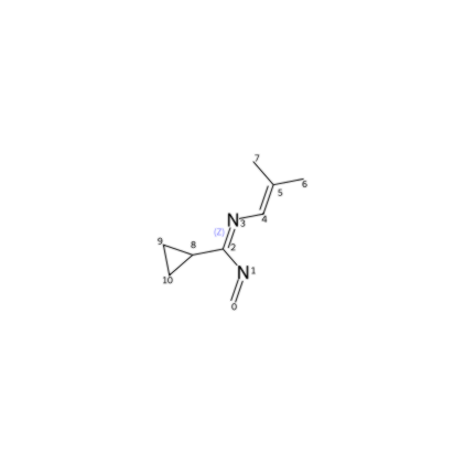 C=N/C(=N\C=C(C)C)C1CC1